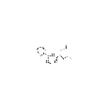 CCCC(CCC)C(=O)OC(OC)c1ccccc1